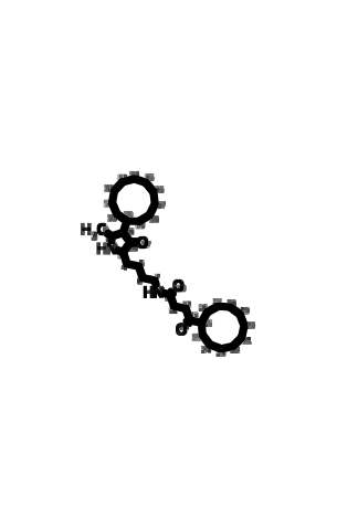 CC1NC(CCCCNC(=O)CCC(=O)C2CCCCCCCCCC2)C(=O)C1C1CCCCCCCCCC1